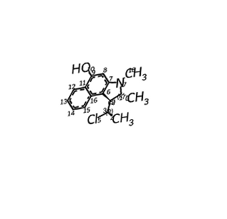 C[C@@H]1[C@@H]([C@@H](C)Cl)c2c(cc(O)c3ccccc23)N1C